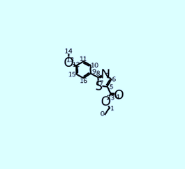 CCOC(=O)c1cnc(-c2ccc(OC)cc2)s1